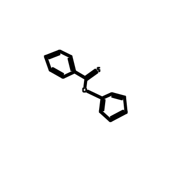 S=C(Oc1ccccc1)c1ccccc1